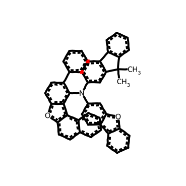 CC1(C)c2ccccc2-c2ccc(N(c3ccc4c(c3)oc3ccccc34)c3c(-c4ccccc4)ccc4oc5ccc6ccccc6c5c34)cc21